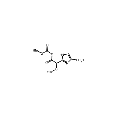 CC(C)(C)OC(=O)OC(=O)C(OC(C)(C)C)c1nc(C(=O)O)c[nH]1